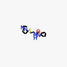 O=C(NCCSc1cccc2nccn12)Nc1ccccc1